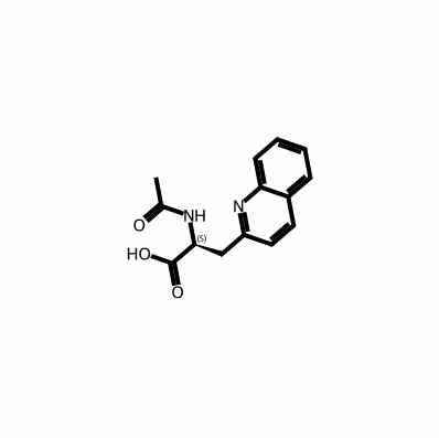 CC(=O)N[C@@H](Cc1ccc2ccccc2n1)C(=O)O